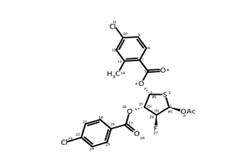 CC(=O)O[C@@H]1S[C@@H](OC(=O)c2ccc(Cl)cc2C)[C@@H](OC(=O)c2ccc(Cl)cc2)[C@@H]1F